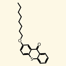 CCCCCCCCOc1ccc2sc3ccccc3c(=O)c2c1